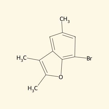 Cc1cc(Br)c2oc(C)c(C)c2c1